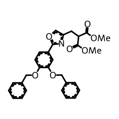 COC(=O)C(Cc1coc(-c2ccc(OCc3ccccc3)c(OCc3ccccc3)c2)n1)C(=O)OC